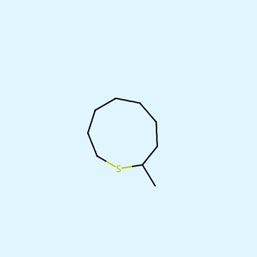 CC1CCCCCCCS1